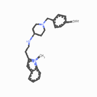 COc1ccc(CN2CCC(NCCc3cc4ccccc4n3C)CC2)cc1